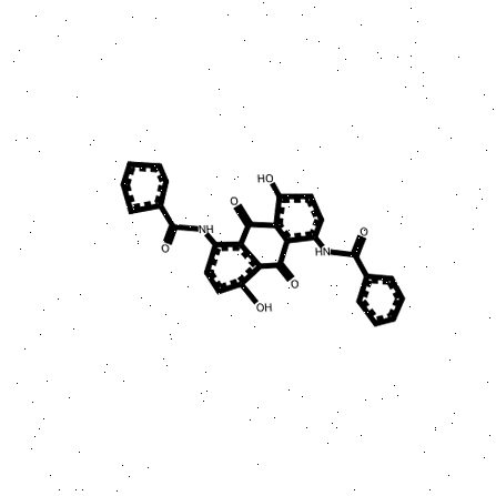 O=C(Nc1ccc(O)c2c1C(=O)c1c(O)ccc(NC(=O)c3ccccc3)c1C2=O)c1ccccc1